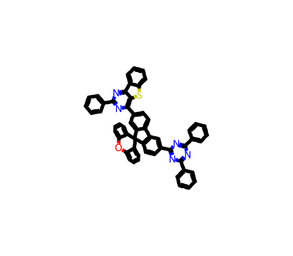 c1ccc(-c2nc(-c3ccccc3)nc(-c3ccc4c(c3)-c3ccc(-c5nc(-c6ccccc6)nc6c5sc5ccccc56)cc3C43c4ccccc4Oc4ccccc43)n2)cc1